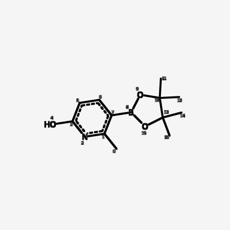 Cc1nc(O)ccc1B1OC(C)(C)C(C)(C)O1